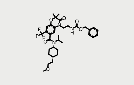 COCC[C@H]1CC[C@H](N(C(=O)c2cc3c(cc2C(F)(F)F)OC(C)(C)C(=O)N3CCNC(=O)OCc2ccccc2)C(C)C)CC1